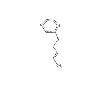 C/C=C/CSc1cnccn1